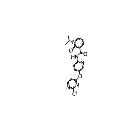 CC(C)n1cccc(C(=O)Nc2ccc(Oc3ccnc(Cl)n3)cn2)c1=O